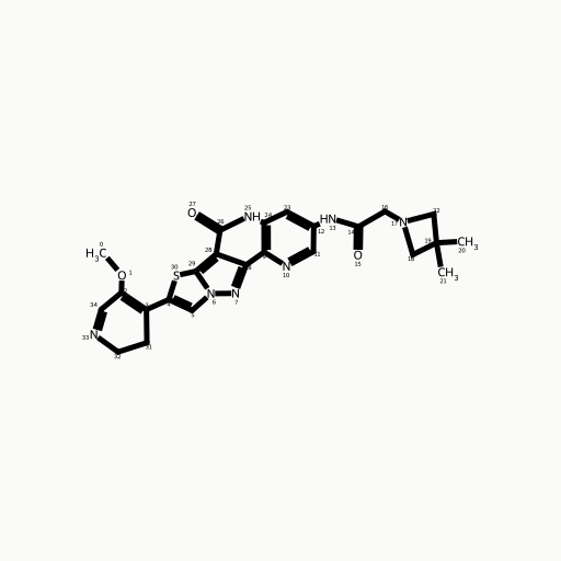 COC1=C(c2cn3nc4c5ncc(NC(=O)CN6CC(C)(C)C6)cc5[nH]c(=O)c4c3s2)CCN=C1